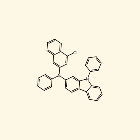 Clc1cc(N(c2ccccc2)c2ccc3c4ccccc4n(-c4ccccc4)c3c2)cc2ccccc12